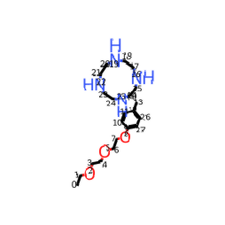 CCOCCOCCOc1ccc(C[C@H]2CNCCNCCNCCN2)cc1